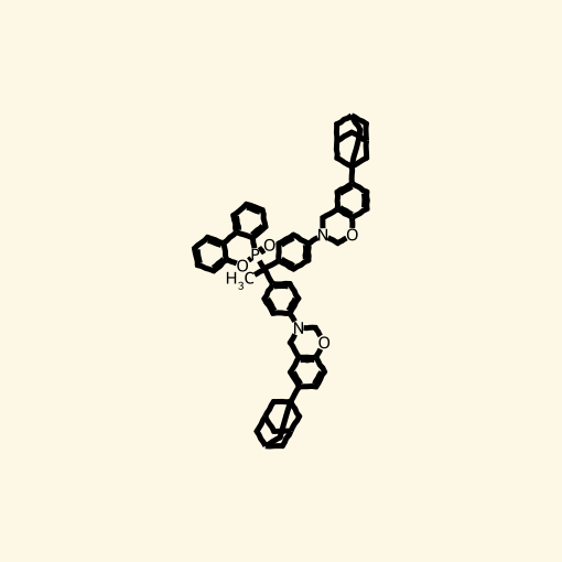 CC(c1ccc(N2COc3ccc(C45CC6CC(CC(C6)C4)C5)cc3C2)cc1)(c1ccc(N2COc3ccc(C45CC6CC(CC(C6)C4)C5)cc3C2)cc1)P1(=O)Oc2ccccc2-c2ccccc21